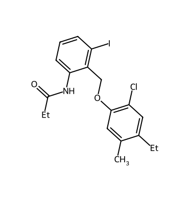 CCC(=O)Nc1cccc(I)c1COc1cc(C)c(CC)cc1Cl